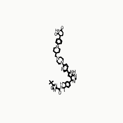 Cc1cc(-c2ncnc3[nH]c(-c4ccc(N5CCN(CC6CCN(c7ccc(C8CCC(=O)NC8=O)cc7)CC6)CC5)nc4)cc23)ccc1[C@@H](C)NC(=O)c1noc(C(C)(C)C)n1